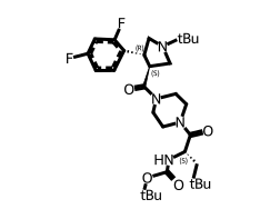 CC(C)(C)C[C@H](NC(=O)OC(C)(C)C)C(=O)N1CCN(C(=O)[C@@H]2CN(C(C)(C)C)C[C@H]2c2ccc(F)cc2F)CC1